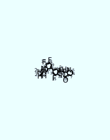 [2H]C1([2H])c2ncccc2C(=O)N1Cc1c(F)cc(-c2cc(F)c(F)c3nn(C([2H])([2H])[2H])cc23)cc1F